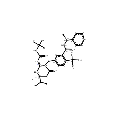 CC(C)[C@]1(C)CC(=O)N(Cc2ccc(C(F)(F)F)c(C(=O)N[C@@H](C)c3ccccc3)c2)/C(=N\C(=O)OC(C)(C)C)N1